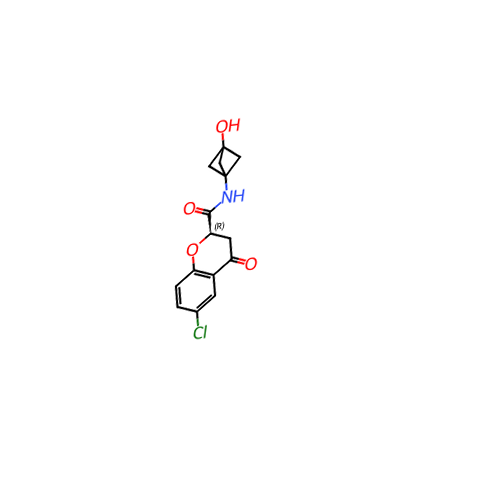 O=C1C[C@H](C(=O)NC23CC(O)(C2)C3)Oc2ccc(Cl)cc21